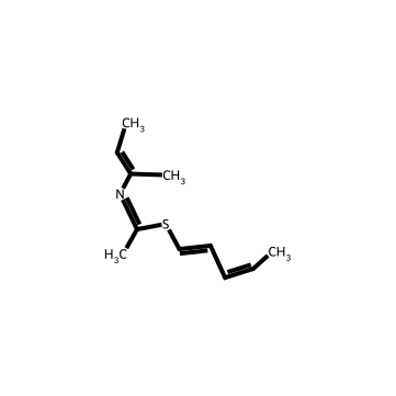 C/C=C\C=C\S/C(C)=N\C(C)=C\C